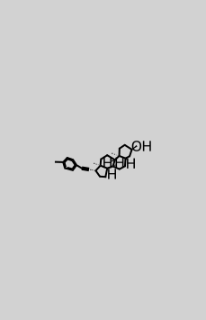 Cc1ccc(C#C[C@H]2CC[C@H]3[C@@H]4CC[C@H]5C[C@H](O)CC[C@]5(C)[C@H]4CC[C@]23C)cc1